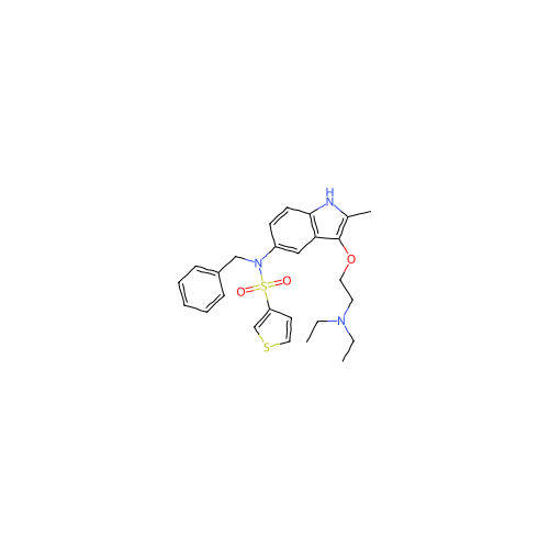 CCN(CC)CCOc1c(C)[nH]c2ccc(N(Cc3ccccc3)S(=O)(=O)c3ccsc3)cc12